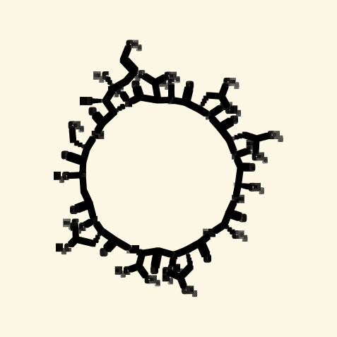 C/C=C/C[C@@H](C)[C@@H](O)[C@H]1C(=O)N[C@@H](CC)C(=O)N(C)CC(=O)N(C)[C@@H](CC(C)C)C(=O)NC(C(C)C)C(=O)N(C)[C@@H](CC(C)C)C(=O)N[C@@H](C)C(=O)N[C@H](C)C(=O)N(C)[C@@H](CC(C)C)C(=O)N(C)[C@@H](CC(C)C)C(=O)N(C)C(C(C)C)C(=O)N1C